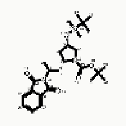 CC(C[C@@H]1C[C@@H](O[Si](C)(C)C(C)(C)C)CN1C(=O)OC(C)(C)C)N1C(=O)c2ccccc2C1=O